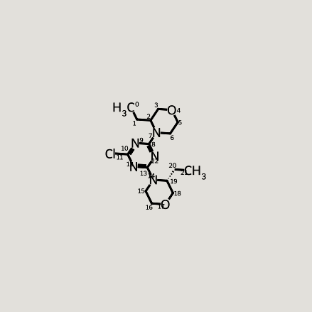 CCC1COCCN1c1nc(Cl)nc(N2CCOC[C@H]2CC)n1